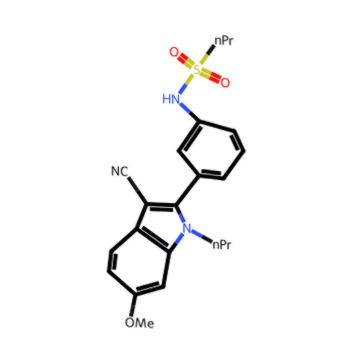 CCCn1c(-c2cccc(NS(=O)(=O)CCC)c2)c(C#N)c2ccc(OC)cc21